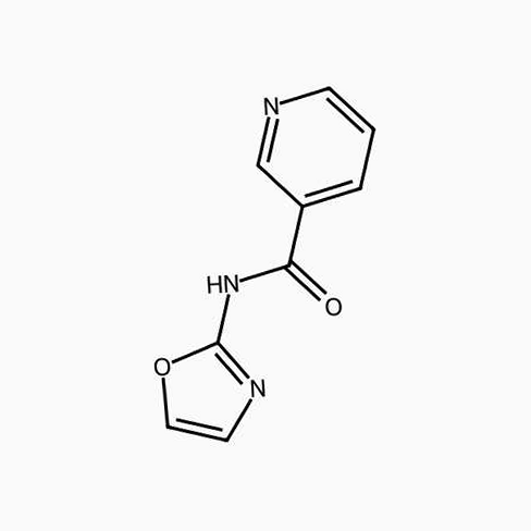 O=C(Nc1ncco1)c1cccnc1